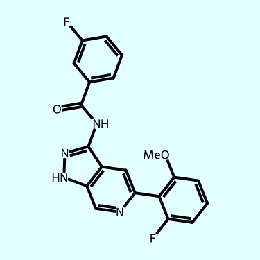 COc1cccc(F)c1-c1cc2c(NC(=O)c3cccc(F)c3)n[nH]c2cn1